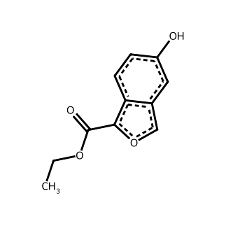 CCOC(=O)c1occ2cc(O)ccc12